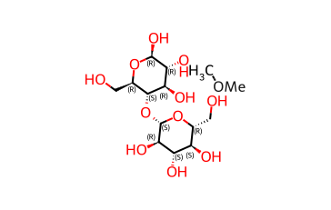 COC.OC[C@H]1O[C@@H](O[C@H]2[C@H](O)[C@@H](O)[C@H](O)O[C@@H]2CO)[C@H](O)[C@@H](O)[C@@H]1O